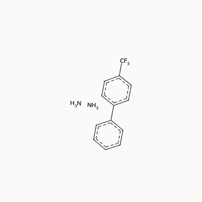 FC(F)(F)c1ccc(-c2ccccc2)cc1.N.N